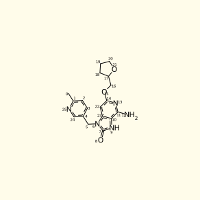 Cc1ccc(Cn2c(=O)[nH]c3c(N)nc(OCC4CCCO4)cc32)cn1